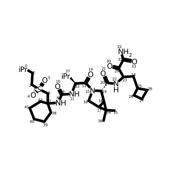 CC(C)CCS(=O)(=O)CC1(NC(=O)N[C@H](C(=O)N2CC3C([C@H]2C(=O)NC(CC2CCC2)C(=O)C(N)=O)C3(C)C)C(C)C)CCCCC1